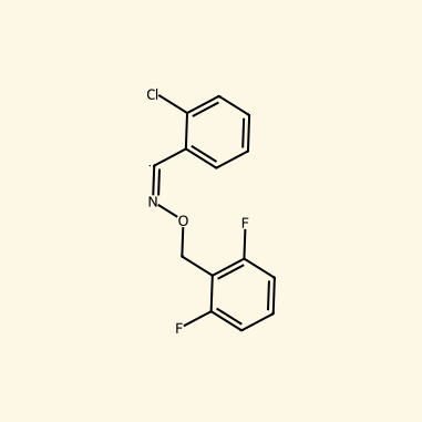 Fc1cccc(F)c1CO/N=[C]\c1ccccc1Cl